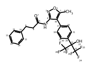 Cc1onc(NC(=O)CCc2ccccc2)c1-c1ccc(C(O)(C(F)(F)F)C(F)(F)F)cc1